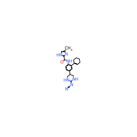 Cc1c[nH]c(C(=O)Nc2ccc(C3CNC(=NC#N)NC3)cc2C2=CCCCC2)n1